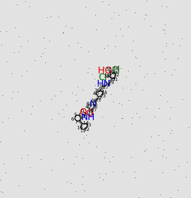 O=C(Nc1ccccc1-c1ccccc1)OC1CCN(CCc2ccc(CCNCc3ccc(Cl)c(O)c3Cl)cc2)CC1